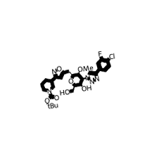 CO[C@@H]1[C@@H](n2cc(-c3ccc(Cl)c(F)c3)nn2)[C@@H](O)[C@@H](CO)O[C@@H]1Cc1cc(C2CCCN(C(=O)OC(C)(C)C)C2)no1